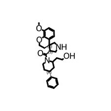 COc1cccc2c1OCC[C@]21CNC[C@H]1C(=O)N1CC[C@@H](c2ccccc2)CC1CCO